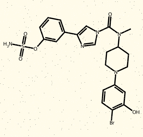 CN(C(=O)n1cnc(-c2cccc(OS(N)(=O)=O)c2)c1)C1CCN(c2ccc(Br)c(O)c2)CC1